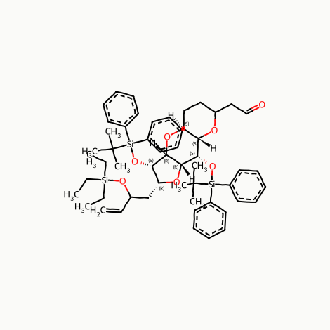 C=CC(C[C@H]1O[C@H]2[C@@H](O[Si](c3ccccc3)(c3ccccc3)C(C)(C)C)[C@H]3OC(CC=O)CC[C@@H]3O[C@H]2[C@H]1O[Si](c1ccccc1)(c1ccccc1)C(C)(C)C)O[Si](CC)(CC)CC